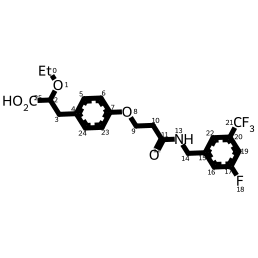 CCOC(Cc1ccc(OCCC(=O)NCc2cc(F)cc(C(F)(F)F)c2)cc1)C(=O)O